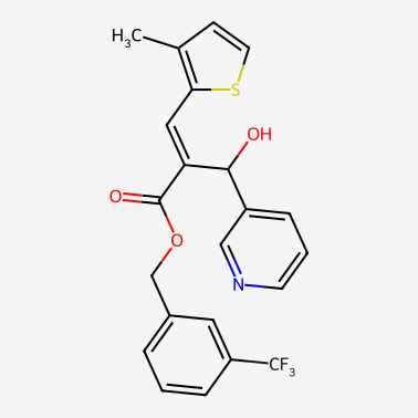 Cc1ccsc1C=C(C(=O)OCc1cccc(C(F)(F)F)c1)C(O)c1cccnc1